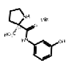 Br.O=C(O)[C@]1(C(=O)Nc2cccc(O)c2)CCCN1